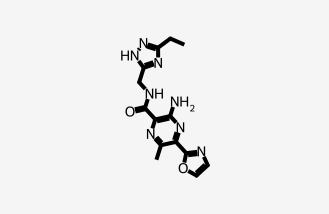 CCc1n[nH]c(CNC(=O)c2nc(C)c(-c3ncco3)nc2N)n1